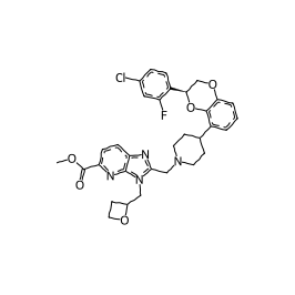 COC(=O)c1ccc2nc(CN3CCC(c4cccc5c4O[C@@H](c4ccc(Cl)cc4F)CO5)CC3)n(CC3CCO3)c2n1